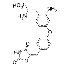 Nc1cc(Oc2ccc(C=C3OC(=O)NC3=O)cc2)ccc1CC(N)C(=O)O